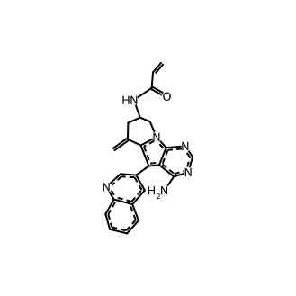 C=CC(=O)NC1CC(=C)c2c(-c3cnc4ccccc4c3)c3c(N)ncnc3n2C1